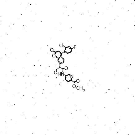 COC(=O)c1ccc(NC(=O)C(C=O)c2ccc3c(-c4ccc(F)cc4Cl)cc(=O)oc3c2)cn1